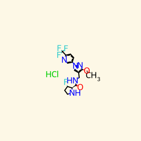 COc1nn(-c2ccc(C(F)(F)F)nc2)cc1CNC(=O)[C@H]1NCC[C@@H]1F.Cl